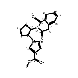 COC(=O)c1ccn(C2CCCC2N2C(=O)Cc3ccccc3C2=O)c1